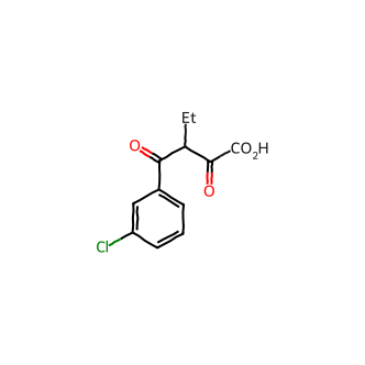 CCC(C(=O)C(=O)O)C(=O)c1cccc(Cl)c1